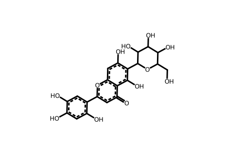 O=c1cc(-c2cc(O)c(O)cc2O)oc2cc(O)c(C3OC(CO)C(O)C(O)C3O)c(O)c12